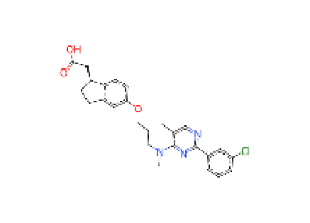 Cc1cnc(-c2cccc(Cl)c2)nc1N(C)CCCOc1ccc2c(c1)CC[C@H]2CC(=O)O